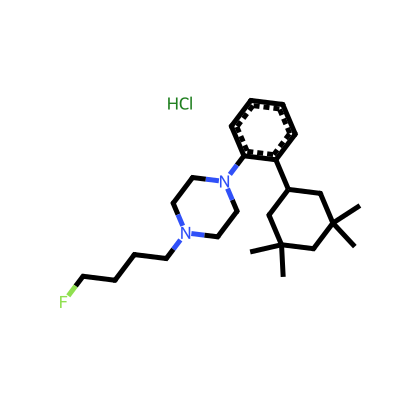 CC1(C)CC(c2ccccc2N2CCN(CCCCF)CC2)CC(C)(C)C1.Cl